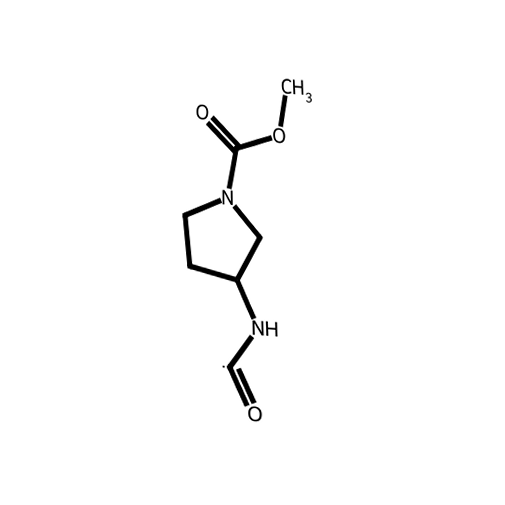 COC(=O)N1CCC(N[C]=O)C1